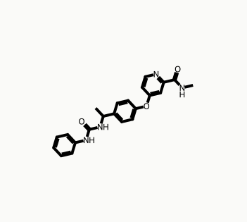 CNC(=O)c1cc(Oc2ccc(C(C)NC(=O)Nc3ccccc3)cc2)ccn1